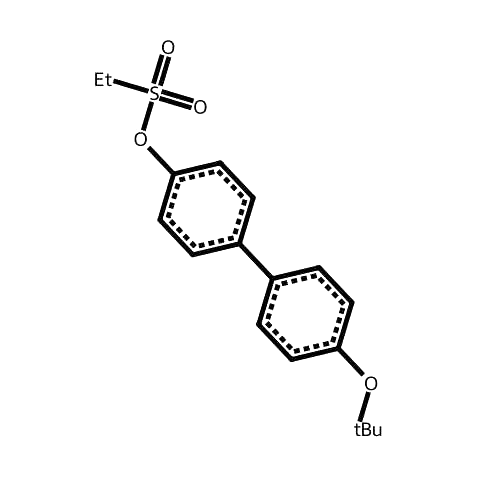 CCS(=O)(=O)Oc1ccc(-c2ccc(OC(C)(C)C)cc2)cc1